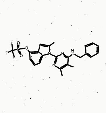 Cc1nc(-n2c(C)cc3c(OS(=O)(=O)C(F)(F)F)cccc32)nc(NCc2ccccc2)c1C